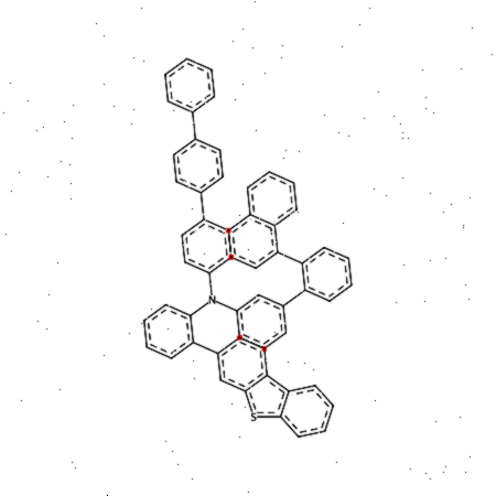 c1ccc(-c2ccc(-c3ccc(N(c4cccc(-c5ccccc5-c5cccc6ccccc56)c4)c4ccccc4-c4ccc5c(c4)sc4ccccc45)cc3)cc2)cc1